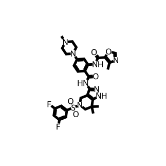 Cc1ncoc1C(=O)Nc1cc(N2CCN(C)CC2)ccc1C(=O)Nc1n[nH]c2c1CN(S(=O)(=O)c1cc(F)cc(F)c1)CC2(C)C